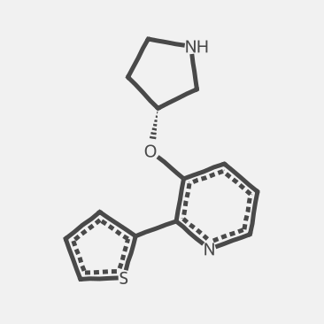 c1csc(-c2ncccc2O[C@@H]2CCNC2)c1